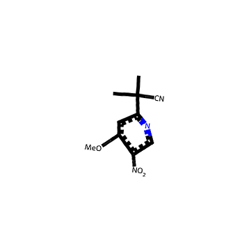 COc1cc(C(C)(C)C#N)ncc1[N+](=O)[O-]